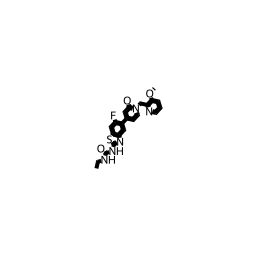 CCNC(=O)Nc1nc2cc(-c3ccn(Cc4ncccc4OC)c(=O)c3)c(F)cc2s1